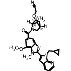 COc1cc(C(=O)N2C[C@H]3C[C@H](OCC#N)[C@@H]2C3N)cc2nc(-c3cc4cccnc4n3CC3CC3)n(C)c12